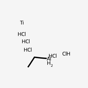 C[CH2][AlH2].Cl.Cl.Cl.Cl.Cl.[Ti]